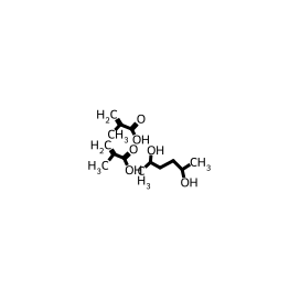 C=C(C)C(=O)O.C=C(C)C(=O)O.CC(O)CCC(C)O